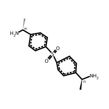 C[C@H](N)c1ccc(S(=O)(=O)c2ccc([C@@H](C)N)cc2)cc1